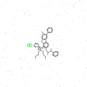 CCCC[C](CCCC)=[Zr+2]([c]1c(CC(C)C(C)c2ccccc2)ccc2c1Cc1cc(C)c(-c3ccccc3)cc1-2)[CH]1C=CC=C1.[Cl-].[Cl-]